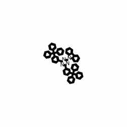 c1ccc(C(c2ccccc2)(c2ccccc2)c2cccc(-c3nc(-c4cccc(C(c5ccccc5)(c5ccccc5)c5ccccc5)c4)nc(-n4c5ccccc5c5ccccc54)n3)c2)cc1